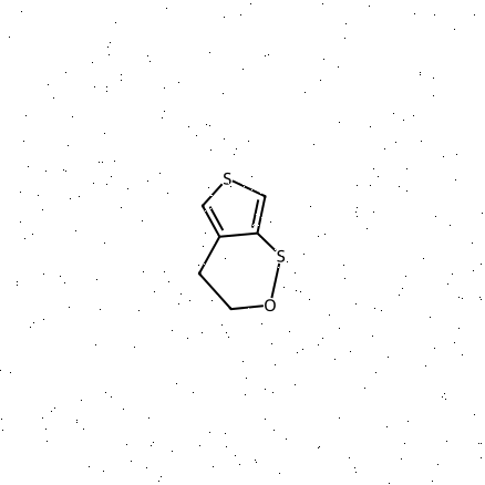 c1scc2c1CCOS2